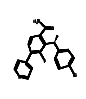 C[C@H](c1ccc(Cl)cc1)c1c(C(N)=O)ccc(-c2ccncc2)c1F